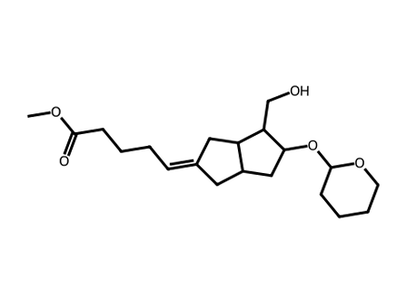 COC(=O)CCCC=C1CC2CC(OC3CCCCO3)C(CO)C2C1